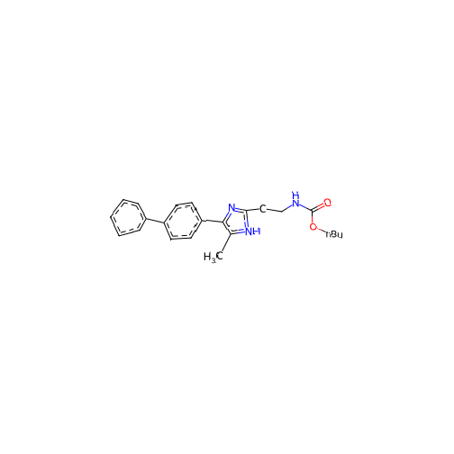 CCCCOC(=O)NCCc1nc(-c2ccc(-c3ccccc3)cc2)c(C)[nH]1